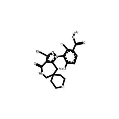 CCCOC(=O)c1ccc(OC)c(-n2nc(CC)c3c2CC2(CCOCC2)CNC3=O)c1Cl